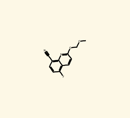 COCOc1ccc2c(F)ccc(C#N)c2n1